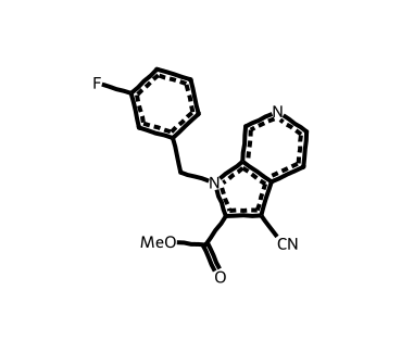 COC(=O)c1c(C#N)c2ccncc2n1Cc1cccc(F)c1